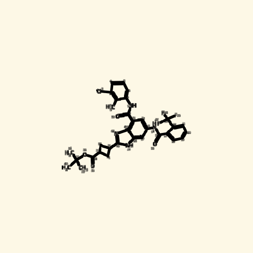 Cc1c(Cl)cccc1NC(=O)c1cc(NC(=O)c2ccccc2C(F)(F)F)cc2[nH]c(C3CC(C(=O)OC(C)(C)C)C3)nc12